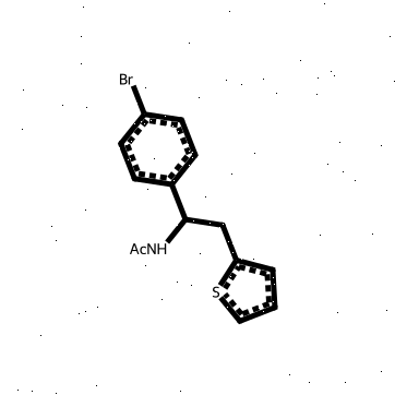 CC(=O)NC(Cc1cccs1)c1ccc(Br)cc1